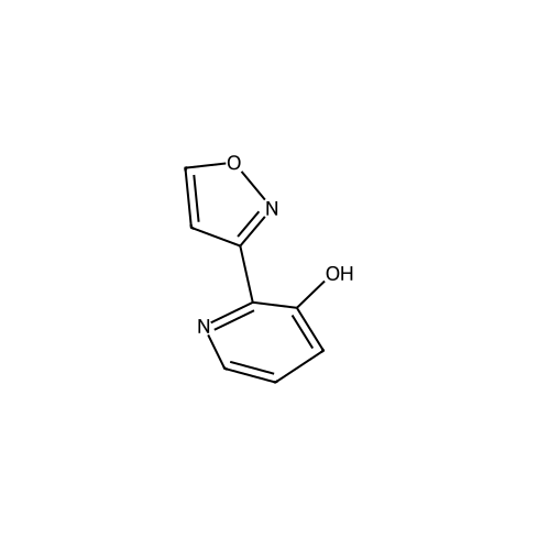 Oc1cccnc1-c1ccon1